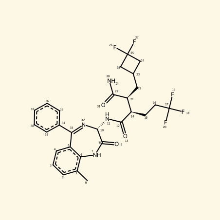 Cc1cccc2c1NC(=O)[C@@H](NC(=O)[C@H](CCC(F)(F)F)[C@H](CC1CC(F)(F)C1)C(N)=O)N=C2c1ccccc1